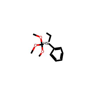 CC[SiH](c1ccccc1)C(OC)(OC)OC